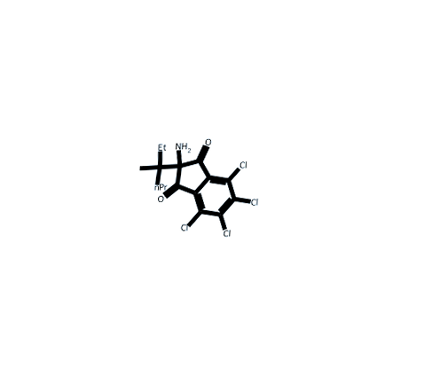 CCCC(C)(CC)C1(N)C(=O)c2c(Cl)c(Cl)c(Cl)c(Cl)c2C1=O